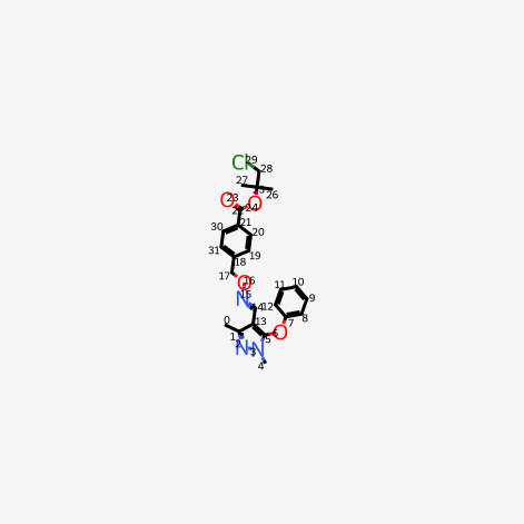 Cc1nn(C)c(Oc2ccccc2)c1C=NOCc1ccc(C(=O)OC(C)(C)CCl)cc1